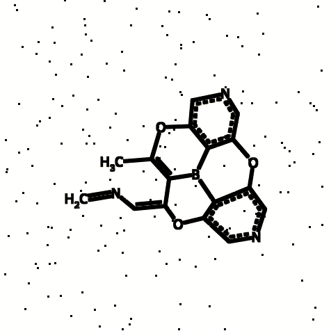 C=N/C=C1/Oc2cncc3c2B2C1=C(C)Oc1cncc(c12)O3